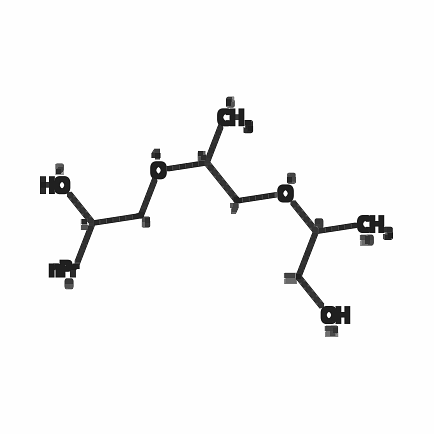 CCCC(O)COC(C)COC(C)CO